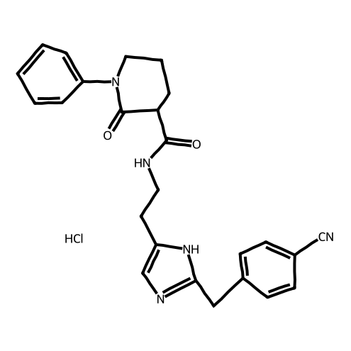 Cl.N#Cc1ccc(Cc2ncc(CCNC(=O)C3CCCN(c4ccccc4)C3=O)[nH]2)cc1